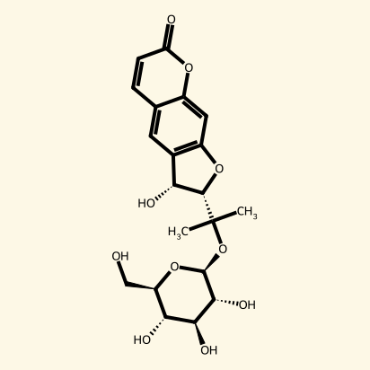 CC(C)(O[C@@H]1O[C@H](CO)[C@@H](O)[C@H](O)[C@H]1O)[C@H]1Oc2cc3oc(=O)ccc3cc2[C@H]1O